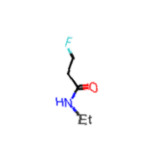 CCNC(=O)CCF